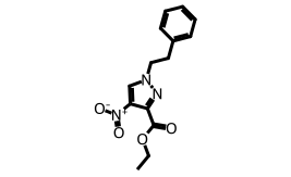 CCOC(=O)c1nn(CCc2ccccc2)cc1[N+](=O)[O-]